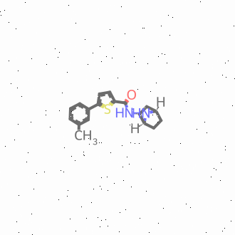 Cc1cccc(-c2ccc(C(=O)N[C@@H]3C[C@H]4CC[C@@H]3N4)s2)c1